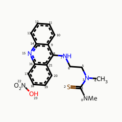 CNC(=S)N(C)CCNc1c2ccccc2nc2ccccc12.O=[N+]([O-])O